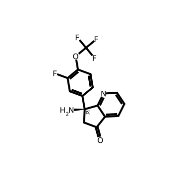 N[C@]1(c2ccc(OC(F)(F)F)c(F)c2)CC(=O)c2cccnc21